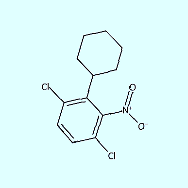 O=[N+]([O-])c1c(Cl)ccc(Cl)c1C1CCCCC1